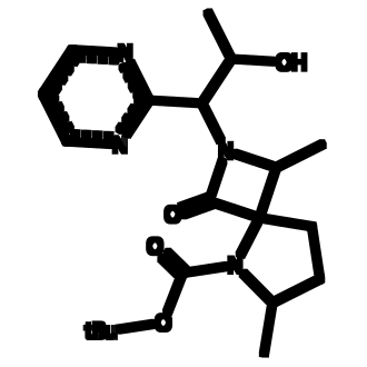 CC(O)C(c1ncccn1)N1C(=O)C2(CCC(C)N2C(=O)OC(C)(C)C)C1C